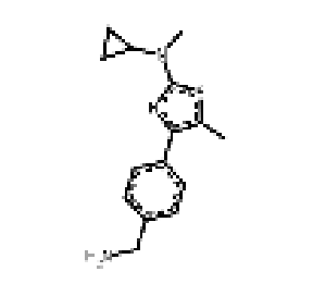 Cc1sc(N(C)C2CC2)nc1-c1ccc(CN)cc1